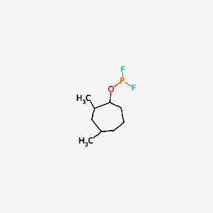 CC1CCCC(OP(F)F)C(C)C1